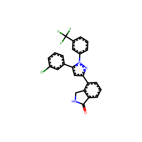 O=C1NCc2c1cccc2-c1cc(-c2cccc(Cl)c2)n(-c2cccc(C(F)(F)F)c2)n1